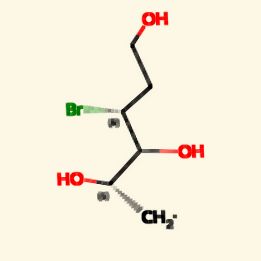 [CH2][C@H](O)C(O)[C@H](Br)CCO